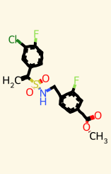 C=C(c1ccc(F)c(Cl)c1)S(=O)(=O)NCc1ccc(C(=O)OC)cc1F